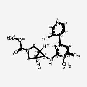 Cn1c(N[C@H]2[C@@H]3CN(C(=O)OC(C)(C)C)C[C@@H]32)nc(-c2ccncc2F)cc1=O